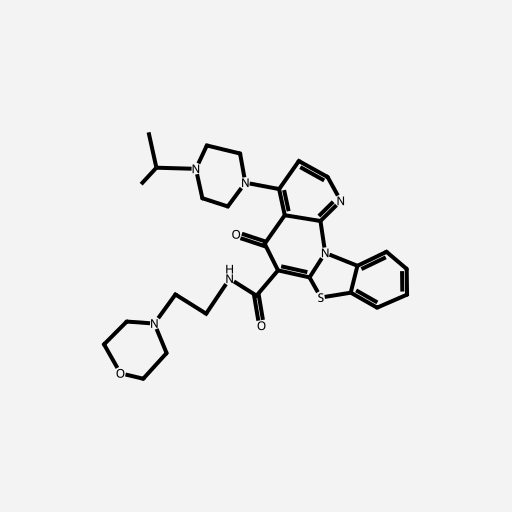 CC(C)N1CCN(c2ccnc3c2c(=O)c(C(=O)NCCN2CCOCC2)c2sc4ccccc4n23)CC1